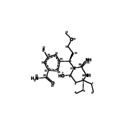 CCC1(CC)CC(O)N([C@H](CCOC)c2cc(F)cc(C(N)=O)c2)C(=N)N1